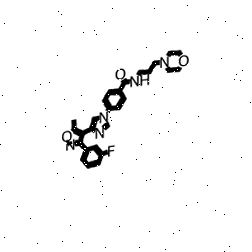 Cc1onc(-c2cccc(F)c2)c1-c1cn(-c2ccc(C(=O)NCCCN3CCOCC3)cc2)cn1